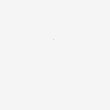 CCO[Si](CCCOC1(O)C=CC=CC1C(=O)c1ccccc1)(OCC)OCC